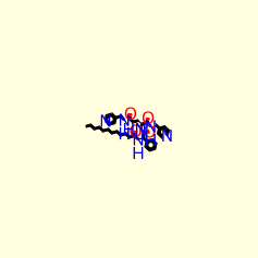 CCCCCCCCCCCC(=O)N[C@@H](C(=O)N[C@@H](CCC(=O)NCc1ccncc1)C(=O)NCc1ccncc1)c1ccccc1